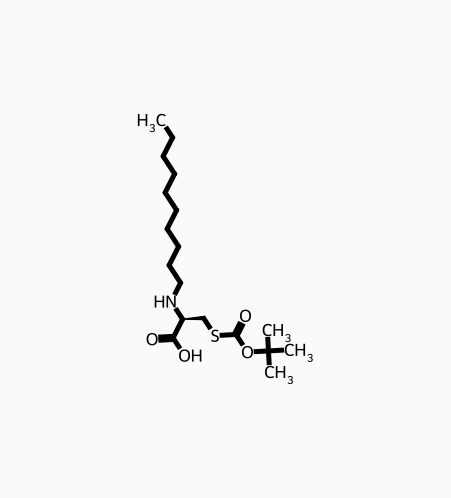 CCCCCCCCCCN[C@@H](CSC(=O)OC(C)(C)C)C(=O)O